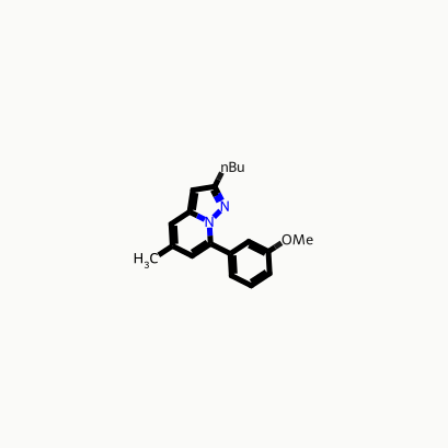 CCCCc1cc2cc(C)cc(-c3cccc(OC)c3)n2n1